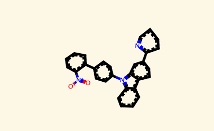 O=[N+]([O-])c1ccccc1-c1ccc(-n2c3ccccc3c3ccc(-c4ccccn4)cc32)cc1